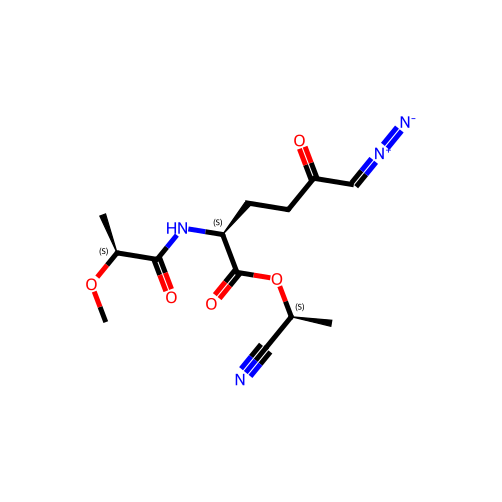 CO[C@@H](C)C(=O)N[C@@H](CCC(=O)C=[N+]=[N-])C(=O)O[C@@H](C)C#N